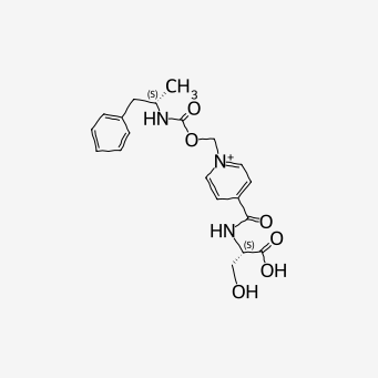 C[C@@H](Cc1ccccc1)NC(=O)OC[n+]1ccc(C(=O)N[C@@H](CO)C(=O)O)cc1